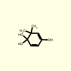 CC1(C)C=C(O)C=CC1(O)O